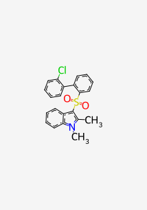 Cc1c(S(=O)(=O)c2ccccc2-c2ccccc2Cl)c2ccccc2n1C